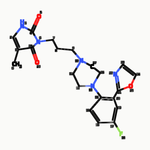 Cc1c[nH]c(=O)n(CCCN2CCN(c3ccc(F)cc3-c3ncco3)CC2)c1=O